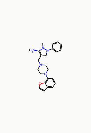 CN1C(N)=C(CN2CCN(c3cccc4ccoc34)CC2)CN1c1ccccc1